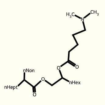 CCCCCCCCCC(CCCCCCC)C(=O)OCC(CCCCCC)OC(=O)CCCCN(C)C